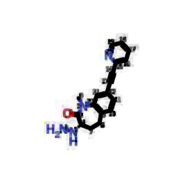 CN1C(=O)[C@@H](NN)CCc2ccc(C#Cc3ccccn3)cc21